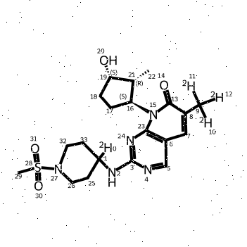 [2H]C1(Nc2ncc3cc(C([2H])([2H])[2H])c(=O)n([C@H]4CC[C@H](O)[C@@H]4C)c3n2)CCN(S(C)(=O)=O)CC1